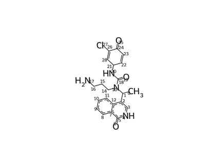 CC(c1c[nH]c(=O)c2ccccc12)N(CCCN)C(=O)NC1C=CC(=O)C(Cl)=C1